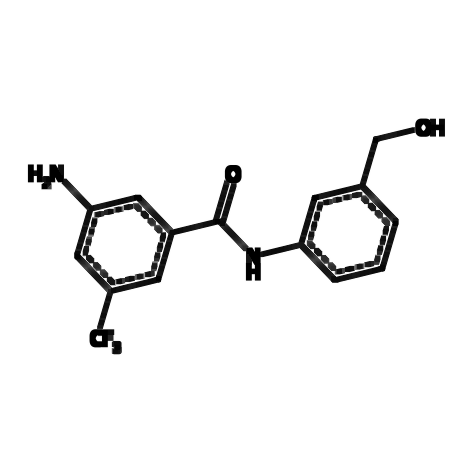 Nc1cc(C(=O)Nc2cccc(CO)c2)cc(C(F)(F)F)c1